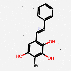 CC(C)c1c(O)cc(/C=C/c2ccccc2)c(O)c1O